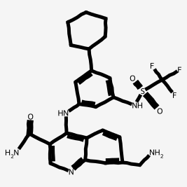 NCc1ccc2c(Nc3cc(NS(=O)(=O)C(F)(F)F)cc(C4CCCCC4)c3)c(C(N)=O)cnc2c1